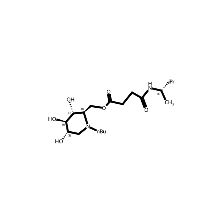 CCCCN1C[C@H](O)[C@@H](O)[C@H](O)[C@H]1COC(=O)CCC(=O)N[C@@H](C)C(C)C